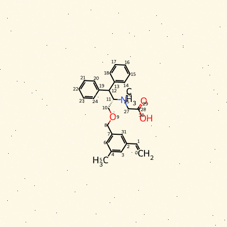 C=Cc1cc(C)cc(COC[C@H](C(c2ccccc2)c2ccccc2)N(C)CC(=O)O)c1